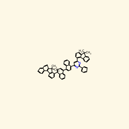 CC1(C)c2ccccc2-c2c(-c3cc(-c4ccc(-c5ccc(-c6cccc7c6C(C)(C)c6ccc8ccccc8c6-7)c6ccccc56)c5ccccc45)nc(-c4ccccc4)n3)cccc21